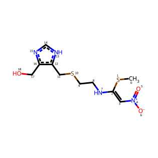 CSC(=C[N+](=O)[O-])NCCSCc1[nH]cnc1CO